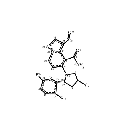 NC(=O)c1c(N2CC(F)C[C@@H]2c2cc(F)ccc2F)ccn2ncc([C]=O)c12